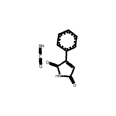 N=C=O.O=C1C=C(c2ccccc2)C(=O)N1